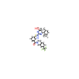 Cc1cccc(C)c1-c1cc(O)nc(NSc2cccc(C(=O)N3CCc4ccc(C(F)(F)F)cc4C3)c2)n1